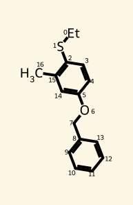 CCSc1ccc(OCc2ccccc2)cc1C